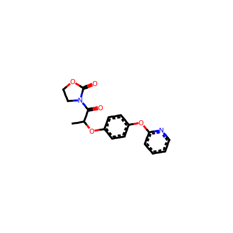 CC(Oc1ccc(Oc2ccccn2)cc1)C(=O)N1CCOC1=O